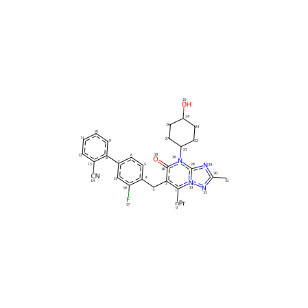 CCCc1c(Cc2ccc(-c3ccccc3C#N)cc2F)c(=O)n(C2CCC(O)CC2)c2nc(C)nn12